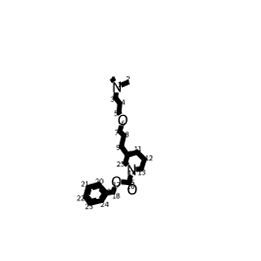 CN(C)CCCOCCCC1CCCN(C(=O)OCc2ccccc2)C1